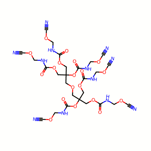 N#COCNC(=O)OCC(COCC(COC(=O)NCOC#N)(COC(=O)NCOC#N)OC(=O)NCOC#N)(COC(=O)NCOC#N)OC(=O)NCOC#N